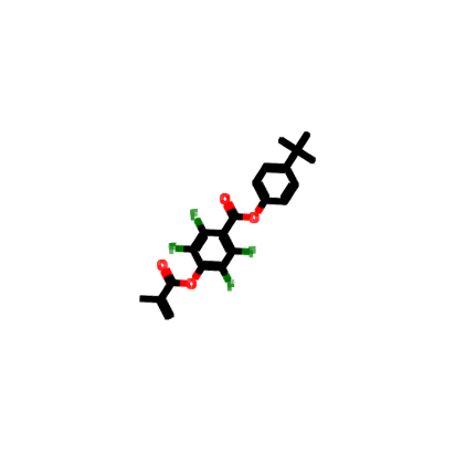 C=C(C)C(=O)Oc1c(F)c(F)c(C(=O)Oc2ccc(C(C)(C)C)cc2)c(F)c1F